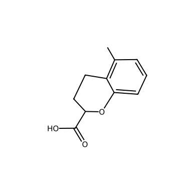 Cc1cccc2c1CCC(C(=O)O)O2